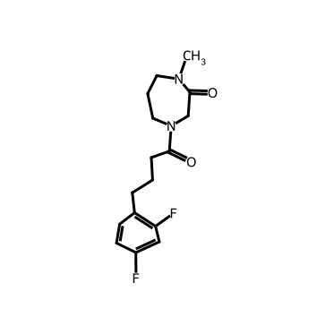 CN1CCCN(C(=O)CCCc2ccc(F)cc2F)CC1=O